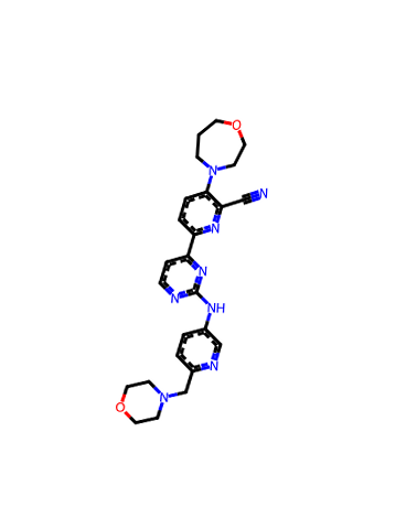 N#Cc1nc(-c2ccnc(Nc3ccc(CN4CCOCC4)nc3)n2)ccc1N1CCCOCC1